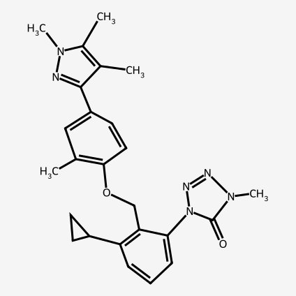 Cc1cc(-c2nn(C)c(C)c2C)ccc1OCc1c(C2CC2)cccc1-n1nnn(C)c1=O